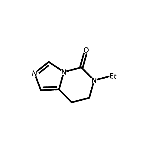 CCN1CCc2cncn2C1=O